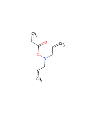 C=CCN(CC=C)OC(=O)C=C